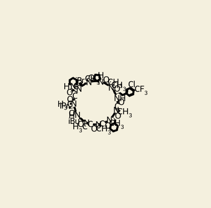 CC[C@H](C)[C@@H]1NC(=O)[C@H](CC(C)C)N(C)C(=O)C[C@@H](C(=O)N2CCCCC2)N(C)C(=O)[C@H](C(C)C)N(C)C(=O)C2(CCCC2)NC(=O)[C@H](C)N(C)C(=O)[C@H](CCc2ccc(C(F)(F)F)c(Cl)c2)NC(=O)CN(C)C(=O)[C@H](CC2CCCCC2)N(C)C(=O)CN(C)C(=O)CN(C)C1=O